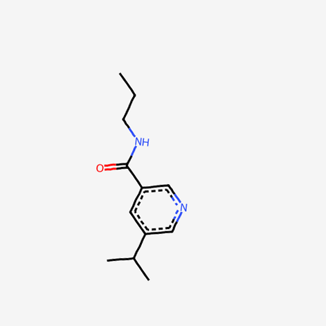 CCCNC(=O)c1cncc(C(C)C)c1